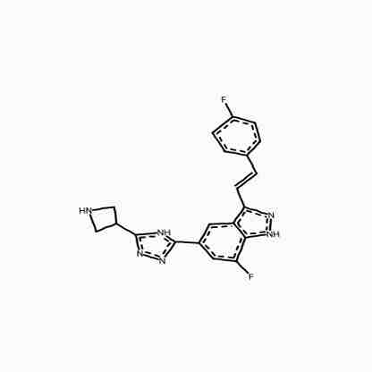 Fc1ccc(/C=C/c2n[nH]c3c(F)cc(-c4nnc(C5CNC5)[nH]4)cc23)cc1